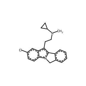 CN(CCc1c2n(c3ccc(Cl)cc13)Cc1ccccc1-2)C1CC1